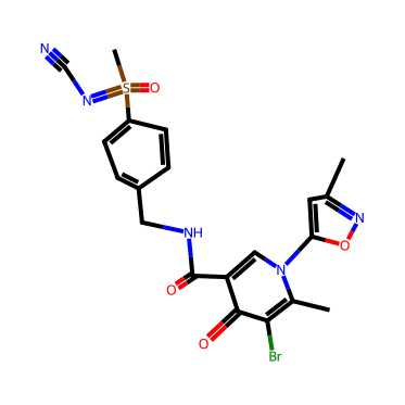 Cc1cc(-n2cc(C(=O)NCc3ccc(S(C)(=O)=NC#N)cc3)c(=O)c(Br)c2C)on1